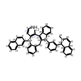 C/C1=C(\C=C/N)N(c2ccc3ccccc3c2)c2ccccc2Cc2c1c1ccccc1n2-c1cccc(C2c3ccccc3C=CN2C)c1